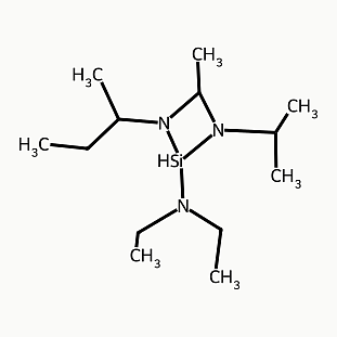 CCC(C)N1C(C)N(C(C)C)[SiH]1N(CC)CC